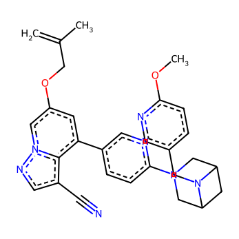 C=C(C)COc1cc(-c2ccc(N3CC4CC(C3)N4Cc3ccc(OC)nc3)nc2)c2c(C#N)cnn2c1